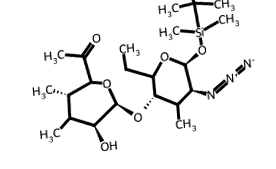 CCC1O[C@@H](O[Si](C)(C)C(C)(C)C)[C@@H](N=[N+]=[N-])C(C)[C@@H]1O[C@@H]1OC(C(C)=O)[C@@H](C)C(C)[C@@H]1O